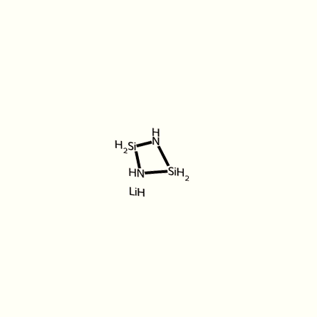 N1[SiH2]N[SiH2]1.[LiH]